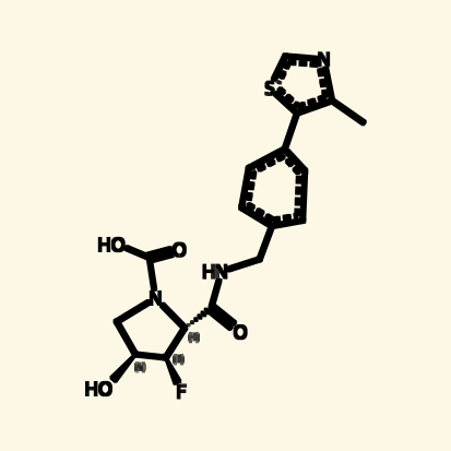 Cc1ncsc1-c1ccc(CNC(=O)[C@@H]2[C@@H](F)[C@@H](O)CN2C(=O)O)cc1